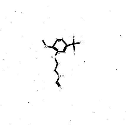 COc1ccc(C(F)(F)F)cc1SCCOC=S